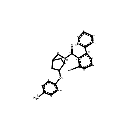 Cc1ccc(OC2CC3CC2N(C(=O)c2c(F)cccc2-c2ncccn2)C3)nc1